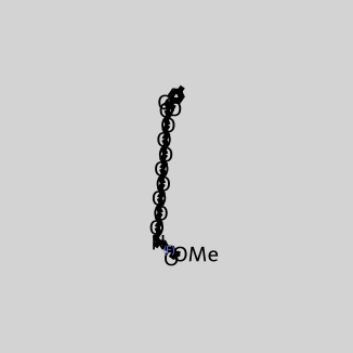 COC(=O)/C=C/CN(C)CCOCCOCCOCCOCCOCCOCCOCCOCCOS(=O)(=O)c1ccc(C)cc1